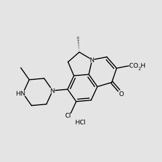 CC1CN(c2c(Cl)cc3c(=O)c(C(=O)O)cn4c3c2C[C@@H]4C)CCN1.Cl